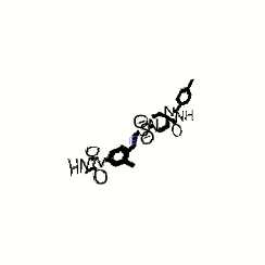 Cc1cc(N2C(=O)CNC2=O)ccc1/C=C/S(=O)(=O)N1CCC2(CC1)N=C(C1CCC(C)CC1)NC2=O